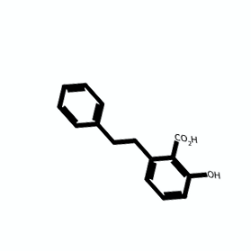 O=C(O)c1c(O)cccc1CCc1ccccc1